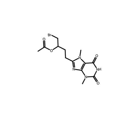 CC(=O)OC(CBr)CCc1nc2c(c(=O)[nH]c(=O)n2C)n1C